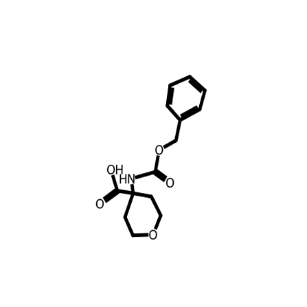 O=C(NC1(C(=O)O)CCOCC1)OCc1ccccc1